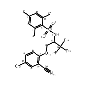 Cc1cc(C)c(S(=O)(=O)NC(COc2ccc(Cl)cc2C#N)C(F)(F)F)c(C)c1